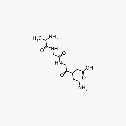 CC(N)C(=O)NCC(=O)NCC(=O)C(CCN)CC(=O)O